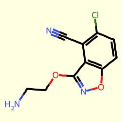 N#Cc1c(Cl)ccc2onc(OCCN)c12